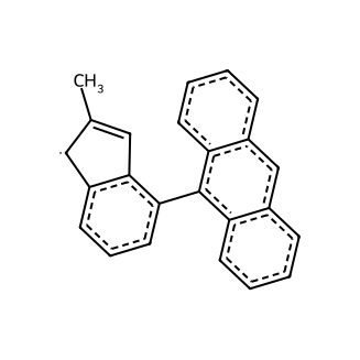 CC1=Cc2c(cccc2-c2c3ccccc3cc3ccccc23)[CH]1